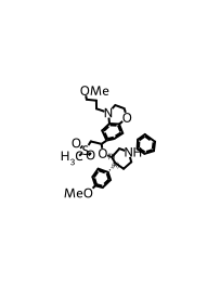 COCCCN1CCOc2ccc(C(CS(C)(=O)=O)O[C@H]3CNCC[C@@H]3c3ccc(OC)cc3)cc21.c1ccccc1